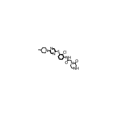 CC1CCN(c2cnc(Sc3cccc(NC(=O)CN4CCNCC4=O)c3Cl)cn2)CC1